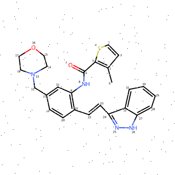 Cc1ccsc1C(=O)Nc1cc(CN2CCOCC2)ccc1C=Cc1n[nH]c2ccccc12